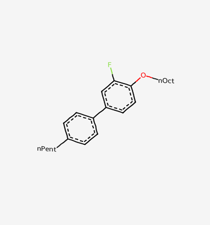 CCCCCCCCOc1ccc(-c2ccc(CCCCC)cc2)cc1F